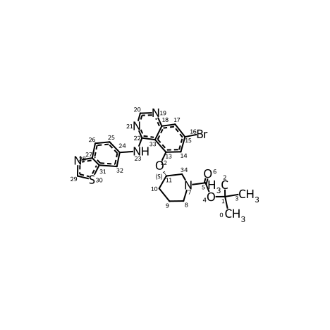 CC(C)(C)OC(=O)N1CCC[C@H](Oc2cc(Br)cc3ncnc(Nc4ccc5ncsc5c4)c23)C1